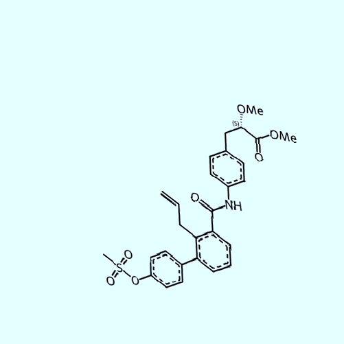 C=CCc1c(C(=O)Nc2ccc(C[C@H](OC)C(=O)OC)cc2)cccc1-c1ccc(OS(C)(=O)=O)cc1